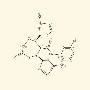 CC1=CC=CC([C@H]2CC(=O)NC[C@@H](c3cccc(Cl)c3)C2C(=O)Nc2cccc(Cl)c2)C1